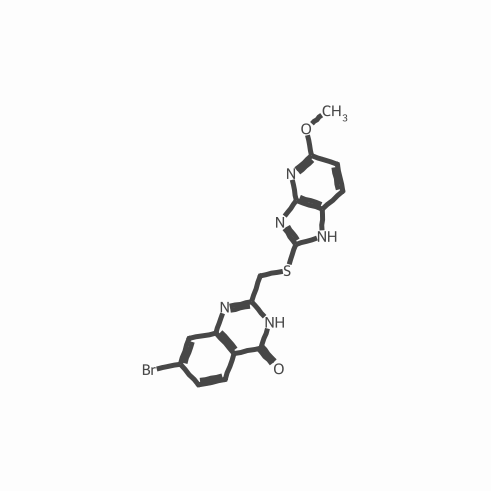 COc1ccc2[nH]c(SCc3nc4cc(Br)ccc4c(=O)[nH]3)nc2n1